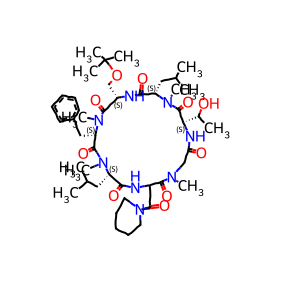 CC(C)C[C@H]1C(=O)N[C@@H](COC(C)(C)C)C(=O)N(C)[C@@H](Cc2ccccc2)C(=O)N(C)[C@@H](CC(C)C)C(=O)NC(C(=O)N2CCCCC2)C(=O)N(C)CC(=O)N[C@@H](C(C)O)C(=O)N1C